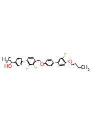 C=CCCOc1ccc(-c2ccc(OCc3ccc(-c4ccc(C(C)O)cc4)c(F)c3F)cc2)cc1F